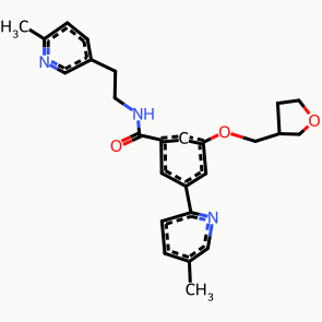 Cc1ccc(-c2cc(OCC3CCOC3)cc(C(=O)NCCc3ccc(C)nc3)c2)nc1